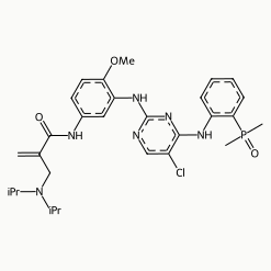 C=C(CN(C(C)C)C(C)C)C(=O)Nc1ccc(OC)c(Nc2ncc(Cl)c(Nc3ccccc3P(C)(C)=O)n2)c1